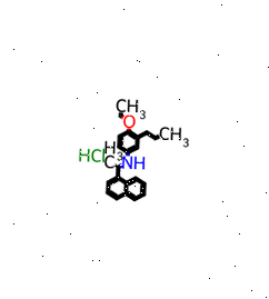 CCCc1cc(N[C@H](C)c2cccc3ccccc23)ccc1OCC.Cl